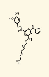 CNCCOCCOCCNc1nc(NCCc2ccc(O)c(O)c2)nc(Nc2ccccc2)n1